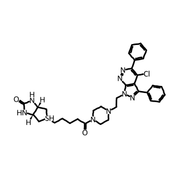 O=C1N[C@H]2C[SH](CCCCC(=O)N3CCN(CCn4nc(-c5ccccc5)c5c(Cl)c(-c6ccccc6)nnc54)CC3)C[C@H]2N1